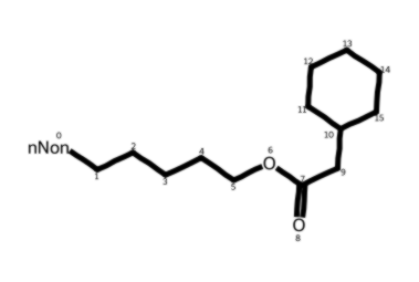 CCCCCCCCCCCCCCOC(=O)CC1CCCCC1